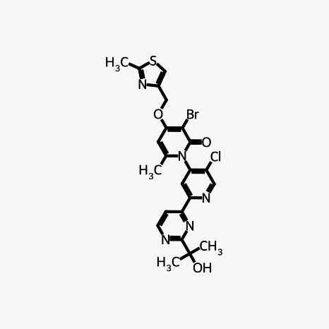 Cc1nc(COc2cc(C)n(-c3cc(-c4ccnc(C(C)(C)O)n4)ncc3Cl)c(=O)c2Br)cs1